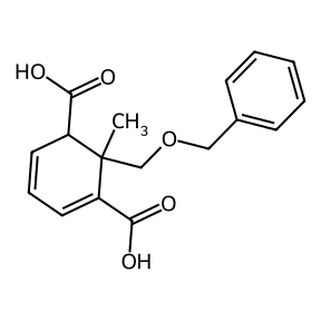 CC1(COCc2ccccc2)C(C(=O)O)=CC=CC1C(=O)O